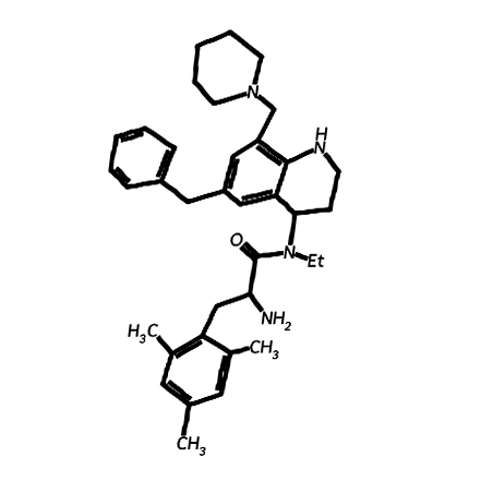 CCN(C(=O)C(N)Cc1c(C)cc(C)cc1C)C1CCNc2c(CN3CCCCC3)cc(Cc3ccccc3)cc21